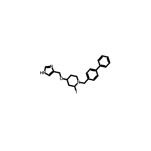 IC1CC(OCc2c[nH]cn2)CCN1Cc1ccc(-c2ccccc2)cc1